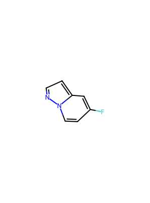 Fc1ccn2nccc2c1